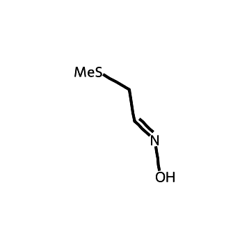 CSCC=NO